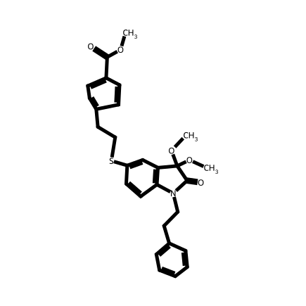 COC(=O)c1ccc(CCSc2ccc3c(c2)C(OC)(OC)C(=O)N3CCc2ccccc2)cc1